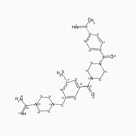 CC(=N)c1ccc(C(=O)N2CCN(C(=O)c3cc(C)cc(CN4CCN(C(=N)N)CC4)c3)CC2)cc1